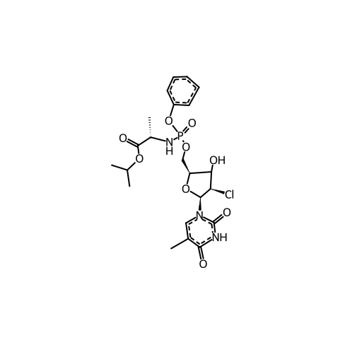 Cc1cn([C@H]2O[C@@H](COP(=O)(N[C@@H](C)C(=O)OC(C)C)Oc3ccccc3)C(O)[C@H]2Cl)c(=O)[nH]c1=O